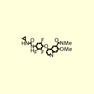 CNC(=O)c1cc2c(Oc3c(F)cc(NC(=O)NC4CC4)c(F)c3F)ccnc2cc1OC